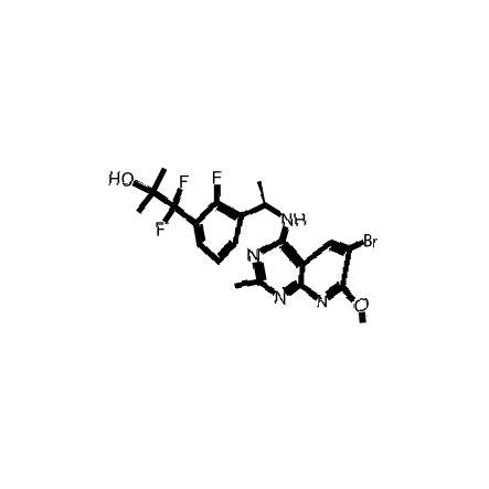 COc1nc2nc(C)nc(N[C@H](C)c3cccc(C(F)(F)C(C)(C)O)c3F)c2cc1Br